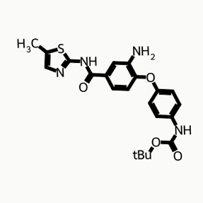 Cc1cnc(NC(=O)c2ccc(Oc3ccc(NC(=O)OC(C)(C)C)cc3)c(N)c2)s1